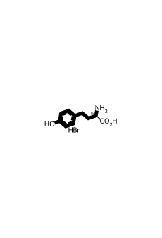 Br.N[C@@H](CCc1ccc(O)cc1)C(=O)O